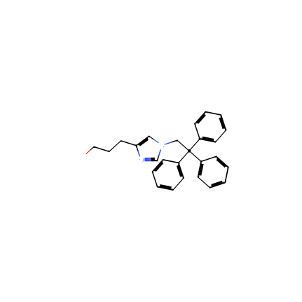 OCCCc1cn(CC(c2ccccc2)(c2ccccc2)c2ccccc2)cn1